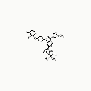 CCN(C(=O)OC(C)(C)C)c1cc2c(cn1)c(-c1cnn(C)c1)nn2C1CCC(Oc2nccc(I)c2F)CC1